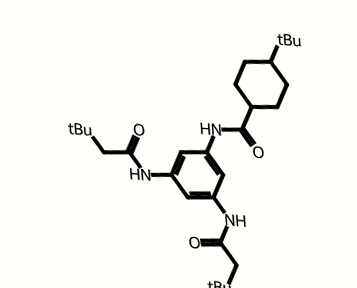 CC(C)(C)CC(=O)Nc1cc(NC(=O)CC(C)(C)C)cc(NC(=O)C2CCC(C(C)(C)C)CC2)c1